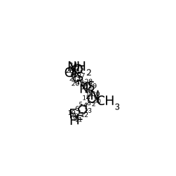 Cc1cc(-c2ccc(C(F)(F)F)cc2)cc(-c2nc(-c3ccc(S(N)(=O)=O)s3)cs2)n1